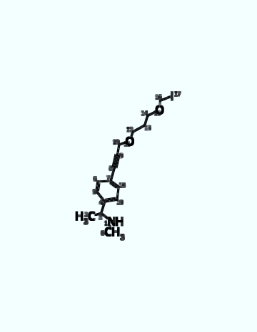 CNC(C)c1ccc(C#CCOCCCOCI)cc1